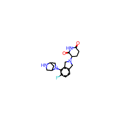 O=C1CCC(N2Cc3ccc(F)c(N4CC5CC4CN5)c3C2)C(=O)N1